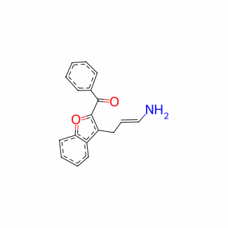 NC=CCc1c(C(=O)c2ccccc2)oc2ccccc12